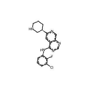 Fc1c(Cl)cccc1Nc1ncnc2cnc([C@@H]3CCCNC3)cc12